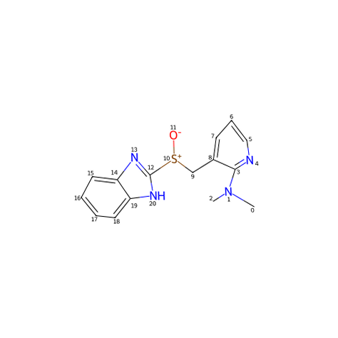 CN(C)c1ncccc1C[S+]([O-])c1nc2ccccc2[nH]1